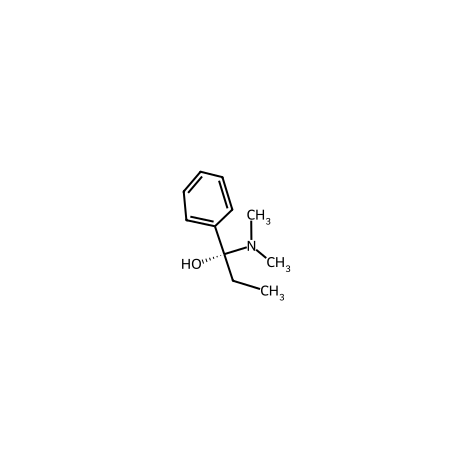 CC[C@@](O)(c1ccccc1)N(C)C